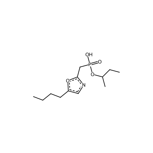 CCCCc1cnc(CP(=O)(O)OC(C)CC)o1